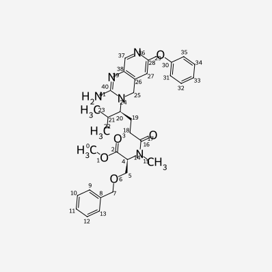 COC(=O)[C@H](COCc1ccccc1)N(C)C(=O)CC[C@@H](C(C)C)N1Cc2cc(Oc3ccccc3)ncc2N=C1N